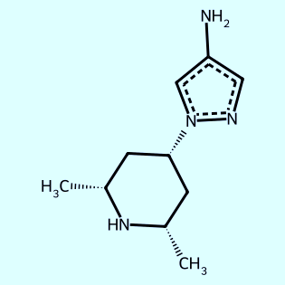 C[C@@H]1C[C@H](n2cc(N)cn2)C[C@H](C)N1